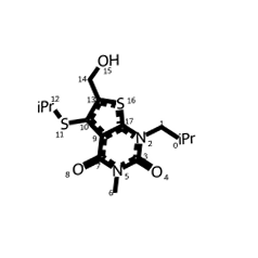 CC(C)Cn1c(=O)n(C)c(=O)c2c(SC(C)C)c(CO)sc21